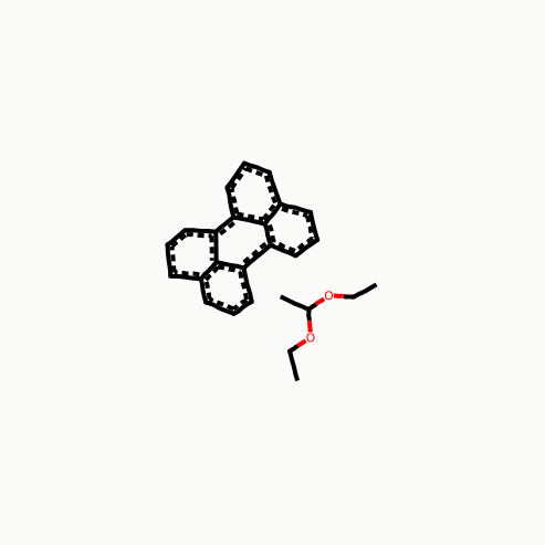 CCOC(C)OCC.c1cc2cccc3c4cccc5cccc(c(c1)c23)c54